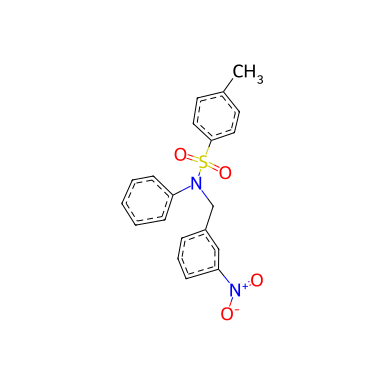 Cc1ccc(S(=O)(=O)N(Cc2cccc([N+](=O)[O-])c2)c2ccccc2)cc1